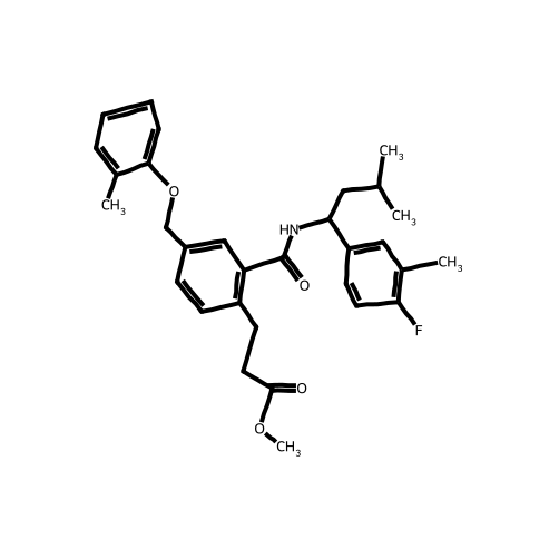 COC(=O)CCc1ccc(COc2ccccc2C)cc1C(=O)NC(CC(C)C)c1ccc(F)c(C)c1